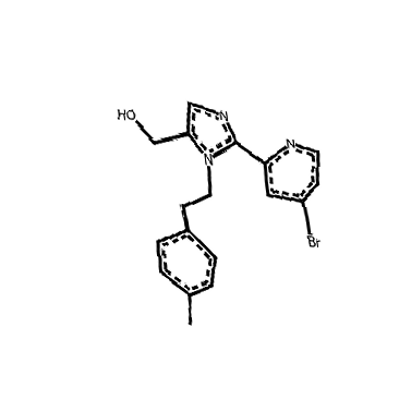 Cc1ccc(CCn2c(CO)cnc2-c2cc(Br)ccn2)cc1